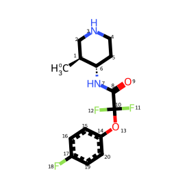 C[C@H]1CNCC[C@@H]1NC(=O)C(F)(F)Oc1ccc(F)cc1